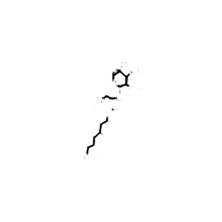 CCCCCCCCCCCCCCCCOC[C@H](CN)O[C@H]1OC2O[C@@H]2C(O)C1O